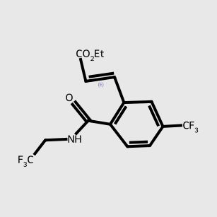 CCOC(=O)/C=C/c1cc(C(F)(F)F)ccc1C(=O)NCC(F)(F)F